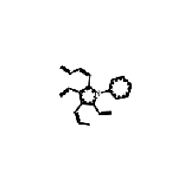 C=C/C=C\c1c(C=C)c(/C=C\C)c(C=C)n1-c1ccccc1